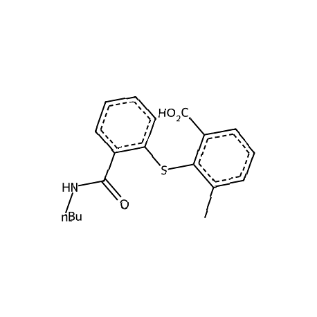 CCCCNC(=O)c1ccccc1Sc1c(C)cccc1C(=O)O